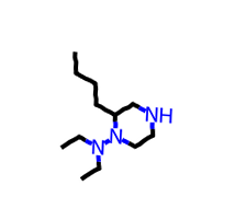 CCCCC1CNCCN1N(CC)CC